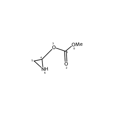 COC(=O)OC1CN1